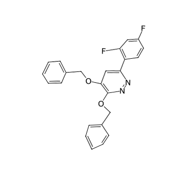 Fc1ccc(-c2cc(OCc3ccccc3)c(OCc3ccccc3)nn2)c(F)c1